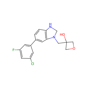 OC1(CN2CNc3ccc(-c4cc(F)cc(Cl)c4)cc32)COC1